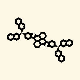 c1ccc2cc(N(c3ccc4ccccc4c3)c3ccc4c(c3)oc3c5c6c(c7c(oc8cc(N(c9ccc%10ccccc%10c9)c9ccc%10ccccc%10c9)ccc87)c7c6c(c34)CCC7)CCC5)ccc2c1